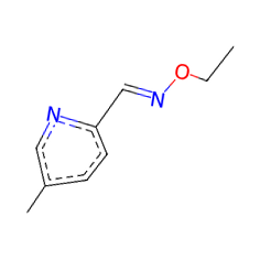 CCON=Cc1ccc(C)cn1